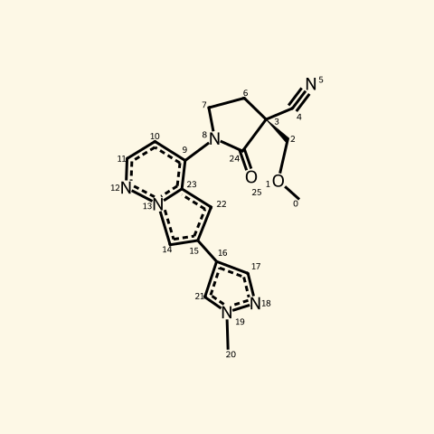 COC[C@]1(C#N)CCN(c2ccnn3cc(-c4cnn(C)c4)cc23)C1=O